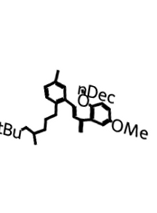 C=C(C=Cc1cc(C)ccc1CCCC(C)CC(C)(C)C)c1cc(OC)ccc1OCCCCCCCCCC